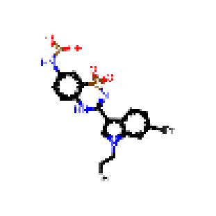 CC(C)CCn1cc(C2=NS(=O)(=O)c3cc(NS(=O)O)ccc3N2)c2ccc(C(C)C)cc21